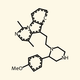 COc1ccc(C2CNCCN2CCc2c3ccccc3n3c(C)ncc(C)c23)cc1